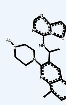 CC(=O)N1CCN(c2nc3c(C)cccc3cc2C(C)Nc2ncnc3ccnn23)CC1